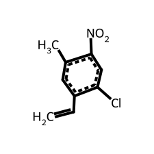 C=Cc1cc(C)c([N+](=O)[O-])cc1Cl